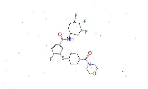 O=C(NC1CCC(F)[C@H](F)C(F)C1)c1ccc(F)c(SC2CCC(C(=O)N3CCOCC3)CC2)c1